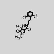 CN1CC(C(=O)NCCCc2c(Cl)cccc2Cl)=C(O)C1=O